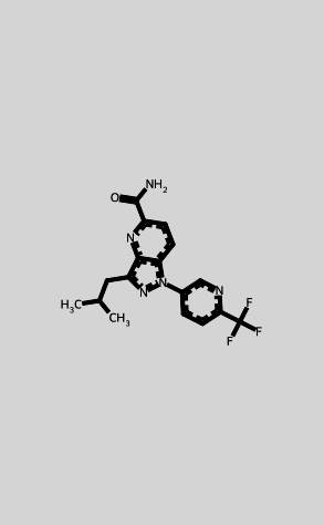 CC(C)Cc1nn(-c2ccc(C(F)(F)F)nc2)c2ccc(C(N)=O)nc12